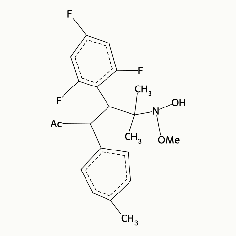 CON(O)C(C)(C)C(c1c(F)cc(F)cc1F)C(C(C)=O)c1ccc(C)cc1